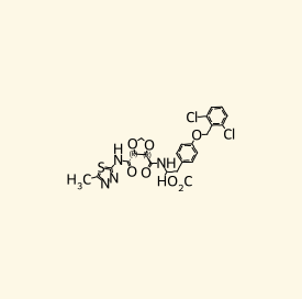 Cc1nnc(NC(=O)[C@@H]2OCO[C@H]2C(=O)NC(Cc2ccc(OCc3c(Cl)cccc3Cl)cc2)C(=O)O)s1